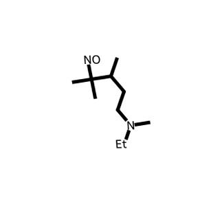 CCN(C)CCC(C)C(C)(C)N=O